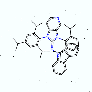 CC(C)c1cc(C(C)C)c(-n2c(=Nn3c4ccccc4c4ccccc43)n(-c3c(C(C)C)cccc3C(C)C)c3cnccc32)c(C(C)C)c1